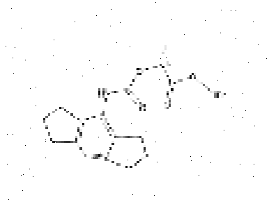 CC(C)OC(=O)[C@@H](C)OC(=O)Nc1c2c(cc3c1CCC3)CCC2